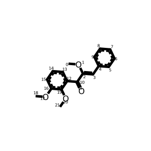 COC(=Cc1ccccc1)C(=O)c1cccc(OC)c1OC